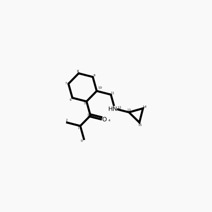 CC(C)C(=O)C1CCCCC1CNC1CC1